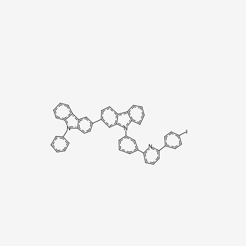 Ic1ccc(-c2cccc(-c3cccc(-n4c5ccccc5c5ccc(-c6ccc7c(c6)c6ccccc6n7-c6ccccc6)cc54)c3)n2)cc1